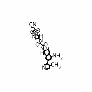 Cc1ccncc1-c1cc(N)c2cnc(NC(=O)C(=O)Nc3cnn(S(=O)(=O)CCC#N)c3)cc2c1